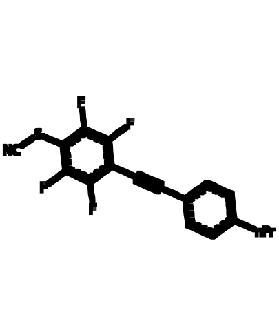 CCCc1ccc(C#Cc2c(F)c(F)c(SC#N)c(F)c2F)cc1